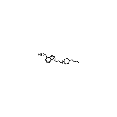 CCCCC1CCN(CCCn2ccc3c(CO)cccc32)CC1